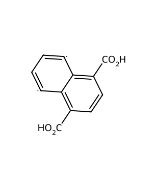 O=C(O)c1ccc(C(=O)O)c2[c]cc[c]c12